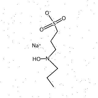 CCCN(O)CCCS(=O)(=O)[O-].[Na+]